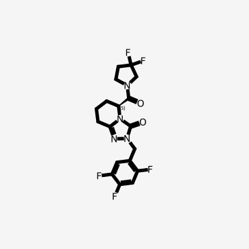 O=C([C@@H]1CCCc2nn(Cc3cc(F)c(F)cc3F)c(=O)n21)N1CCC(F)(F)C1